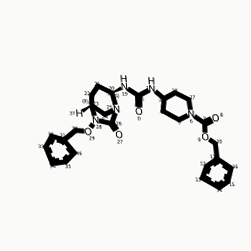 O=C(NC1CCN(C(=O)OCc2ccccc2)CC1)N[C@@H]1CC[C@@H]2CN1C(=O)N2OCc1ccccc1